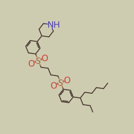 CCCCCC(CCC)c1cccc(S(=O)(=O)CCCCS(=O)(=O)C2C=C(C3CCNCC3)C=CC2)c1